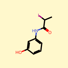 CC(I)C(=O)Nc1cccc(O)c1